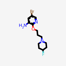 Nc1cc(Br)cnc1OCCCN1CCC(F)CC1